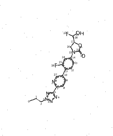 CCCn1nnc(-c2ccc(-c3ccc(N4C[C@@H](C(O)F)OC4=O)cc3F)cn2)n1